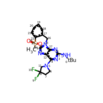 CC(C)(C)Nc1nc(N2CCC(F)(F)C2)c2ncn(Cc3ccccc3S(C)(=O)=O)c2n1